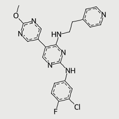 COc1ncc(-c2cnc(Nc3ccc(F)c(Cl)c3)nc2NCCc2ccncc2)cn1